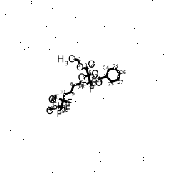 CCOC(=O)C(OCCCCC(F)(F)C(F)(F)[SH](=O)=O)(OC(=O)C1CCCCC1)C(F)(F)F